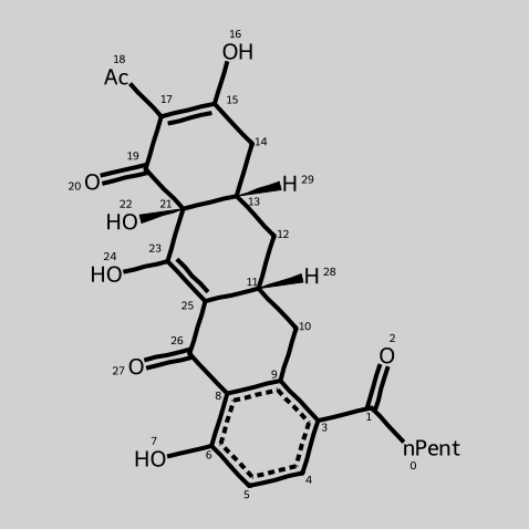 CCCCCC(=O)c1ccc(O)c2c1C[C@H]1C[C@H]3CC(O)=C(C(C)=O)C(=O)[C@@]3(O)C(O)=C1C2=O